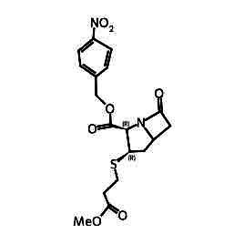 COC(=O)CCS[C@@H]1CC2CC(=O)N2[C@@H]1C(=O)OCc1ccc([N+](=O)[O-])cc1